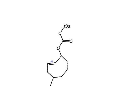 CC1C/C=C/C(OC(=O)OC(C)(C)C)CCC1